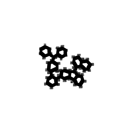 c1ccc(N(c2ccccc2)c2ccc(-c3ccccc3-c3ccc4c(c3)c3ccccc3n4-c3cccc4ccccc34)cc2)cc1